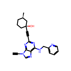 C#Cn1cnc2c(NCc3ccccn3)nc(C#C[C@]3(O)CCC[C@@H](C)C3)nc21